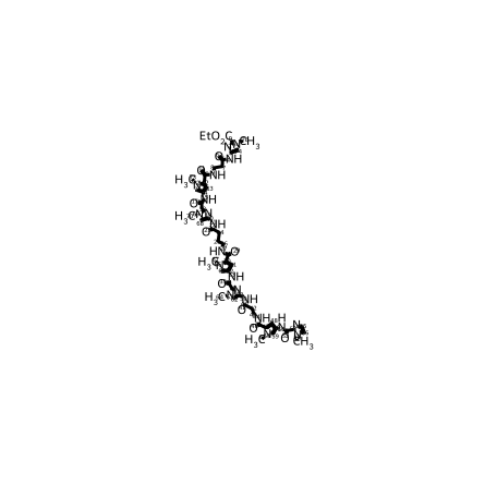 CCOC(=O)c1nc(NC(=O)CCNC(=O)c2cc(NC(=O)c3nc(NC(=O)CCCNC(=O)c4cc(NC(=O)c5nc(NC(=O)CCNC(=O)c6cc(NC(=O)c7nccn7C)cn6C)cn5C)cn4C)cn3C)cn2C)cn1C